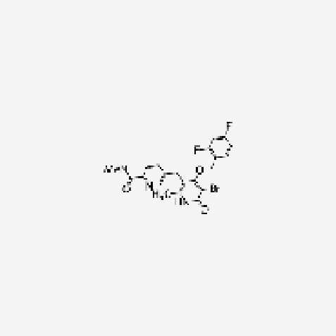 CNC(=O)c1ccc(Cc2c(C)[nH]c(=O)c(Br)c2OCc2ccc(F)cc2F)cn1